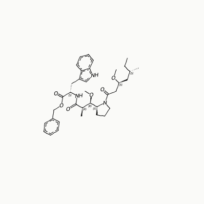 CC[C@H](C)C[C@@H](CC(=O)N1CCC[C@H]1[C@H](OC)[C@@H](C)C(=O)N[C@@H](Cc1c[nH]c2ccccc12)C(=O)OCc1ccccc1)OC